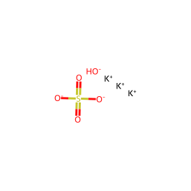 O=S(=O)([O-])[O-].[K+].[K+].[K+].[OH-]